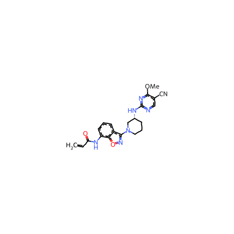 C=CC(=O)Nc1cccc2c(N3CCC[C@@H](Nc4ncc(C#N)c(OC)n4)C3)noc12